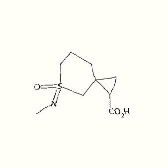 CN=S1(=O)CCCC2(CC2C(=O)O)C1